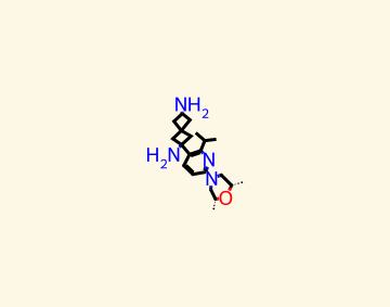 CC(C)c1nc(N2C[C@@H](C)O[C@@H](C)C2)ccc1C1(N)CC2(CC(N)C2)C1